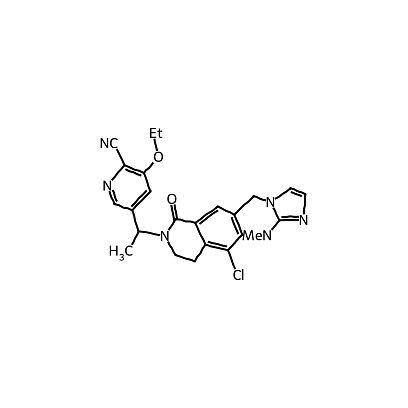 CCOc1cc(C(C)N2CCc3c(Cl)cc(Cn4ccnc4NC)cc3C2=O)cnc1C#N